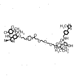 COc1cc(Nc2c(C#N)cnc3cc(OCCCN4CCN(C(=O)CCOCCOCCOCCC(=O)N[C@H](C(=O)N5C[C@H](O)C[C@H]5C(=O)NCc5ccc(-c6scnc6C)cc5)C(C)(C)C)CC4)c(OC)cc23)c(Cl)cc1Cl